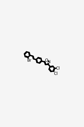 Clc1ccc(-c2cc(-c3ccc(C=Cc4ccccc4Br)cc3)on2)cc1Cl